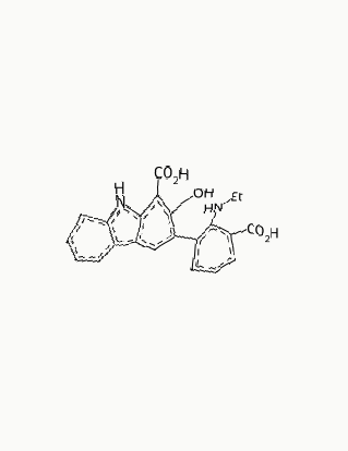 CCNc1c(C(=O)O)cccc1-c1cc2c([nH]c3ccccc32)c(C(=O)O)c1O